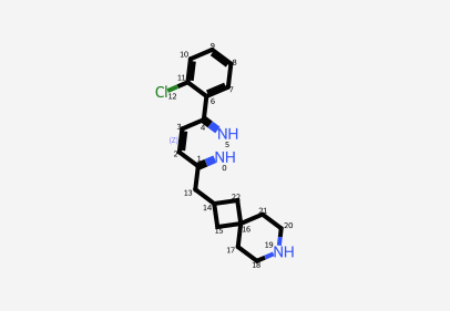 N=C(/C=C\C(=N)c1ccccc1Cl)CC1CC2(CCNCC2)C1